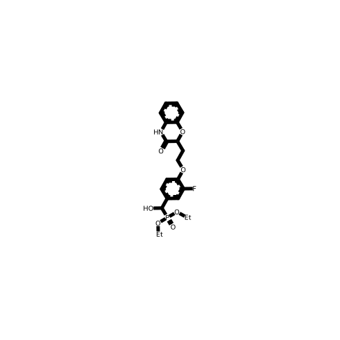 CCOP(=O)(OCC)C(O)c1ccc(OCCC2Oc3ccccc3NC2=O)c(F)c1